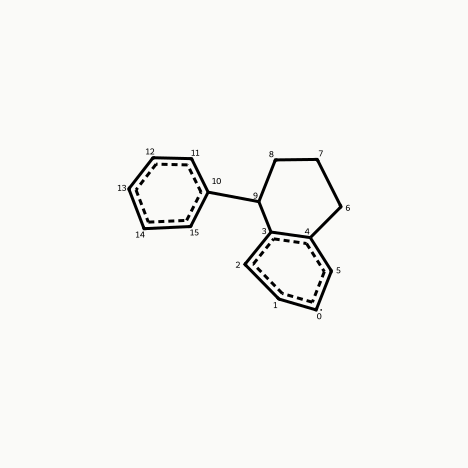 [c]1ccc2c(c1)CCCC2c1ccccc1